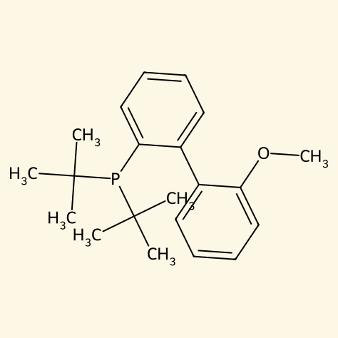 COc1ccccc1-c1ccccc1P(C(C)(C)C)C(C)(C)C